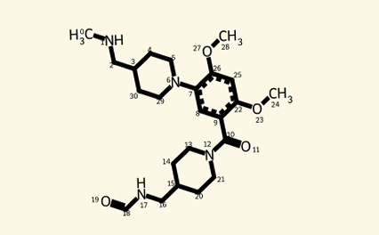 CNCC1CCN(c2cc(C(=O)N3CCC(CNC=O)CC3)c(OC)cc2OC)CC1